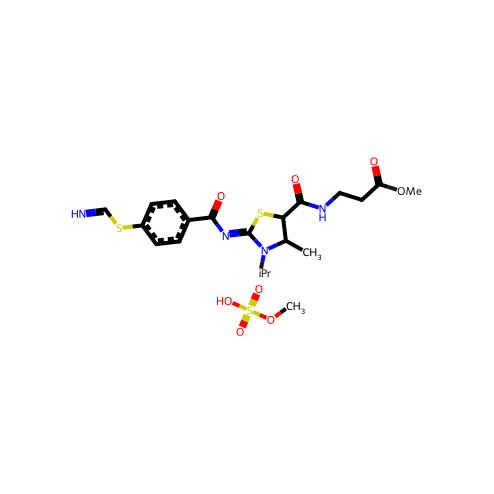 COC(=O)CCNC(=O)C1SC(=NC(=O)c2ccc(SC=N)cc2)N(C(C)C)C1C.COS(=O)(=O)O